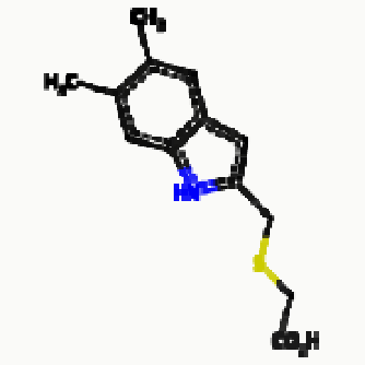 Cc1cc2cc(CSCC(=O)O)[nH]c2cc1C